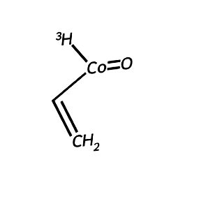 [3H][Co](=[O])[CH]=C